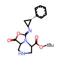 CC(C)(C)OC(=O)C1CNCC2C(=O)OC(=N[C@H]3C[C@@H]3c3ccccc3)N21